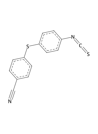 N#Cc1ccc(Sc2ccc(N=C=S)cc2)cc1